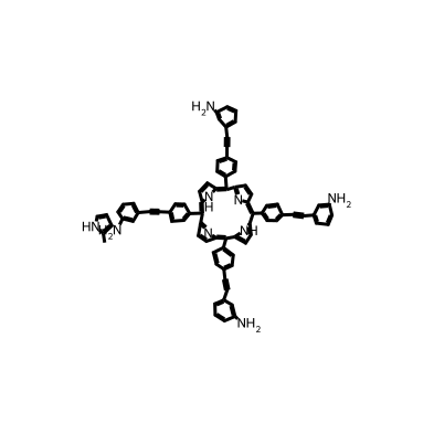 Cc1ccc[nH]1.Nc1cccc(C#Cc2ccc(-c3c4nc(c(-c5ccc(C#Cc6cccc(N)c6)cc5)c5ccc([nH]5)c(-c5ccc(C#Cc6cccc(N)c6)cc5)c5nc(c(-c6ccc(C#Cc7cccc(N)c7)cc6)c6ccc3[nH]6)C=C5)C=C4)cc2)c1